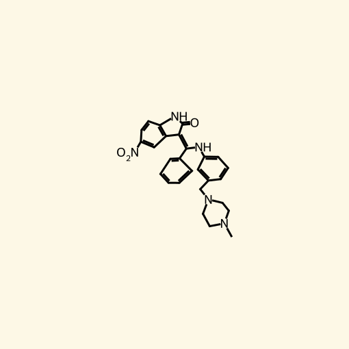 CN1CCN(Cc2cccc(N/C(=C3\C(=O)Nc4ccc([N+](=O)[O-])cc43)c3ccccc3)c2)CC1